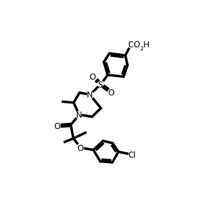 CC1CN(S(=O)(=O)c2ccc(C(=O)O)cc2)CCN1C(=O)C(C)(C)Oc1ccc(Cl)cc1